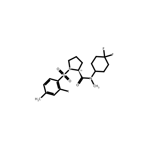 Cc1ccc(S(=O)(=O)N2CCC[C@H]2C(=O)N(C)C2CCC(F)(F)CC2)c(I)c1